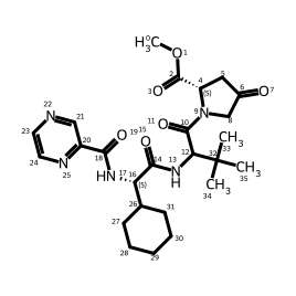 COC(=O)[C@@H]1CC(=O)CN1C(=O)C(NC(=O)[C@@H](NC(=O)c1cnccn1)C1CCCCC1)C(C)(C)C